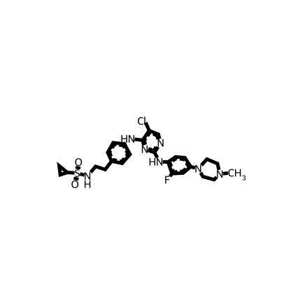 CN1CCN(c2ccc(Nc3ncc(Cl)c(Nc4ccc(CCNS(=O)(=O)C5CC5)cc4)n3)c(F)c2)CC1